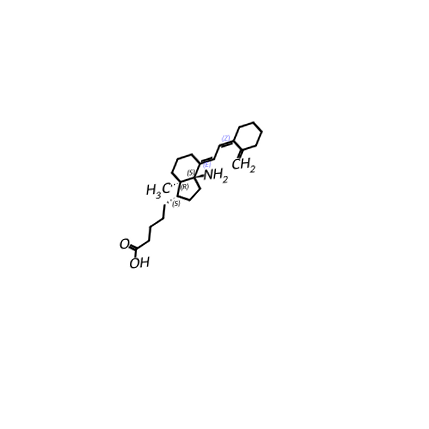 C=C1CCCC/C1=C/C=C1\CCC[C@]2(C)[C@@H](CCCCC(=O)O)CC[C@@]12N